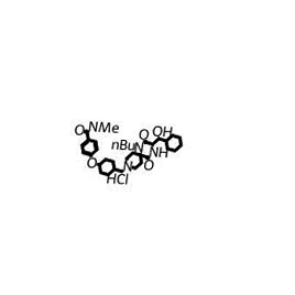 CCCCN1C(=O)[C@@H]([C@H](O)C2CCCCC2)NC(=O)C12CCN(CC1CCC(Oc3ccc(C(=O)NC)cc3)CC1)CC2.Cl